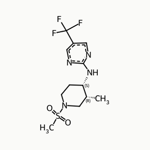 C[C@@H]1CN(S(C)(=O)=O)CC[C@@H]1Nc1ncc(C(F)(F)F)cn1